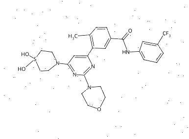 Cc1ccc(C(=O)Nc2cccc(C(F)(F)F)c2)cc1-c1cc(N2CCS(O)(O)CC2)nc(N2CCOCC2)n1